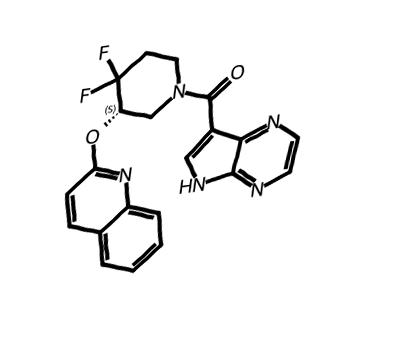 O=C(c1c[nH]c2nccnc12)N1CCC(F)(F)[C@@H](Oc2ccc3ccccc3n2)C1